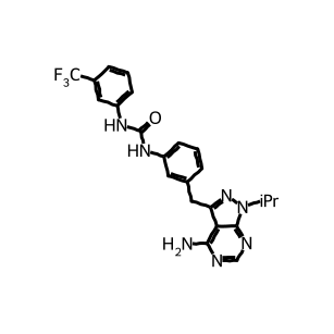 CC(C)n1nc(Cc2cccc(NC(=O)Nc3cccc(C(F)(F)F)c3)c2)c2c(N)ncnc21